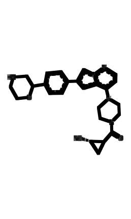 N#C[C@H]1CC1C(=O)N1CCN(c2ccnn3cc(-c4ccc(C5CNCCO5)cc4)cc23)CC1